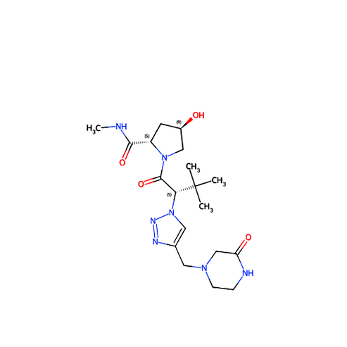 CNC(=O)[C@@H]1C[C@@H](O)CN1C(=O)[C@@H](n1cc(CN2CCNC(=O)C2)nn1)C(C)(C)C